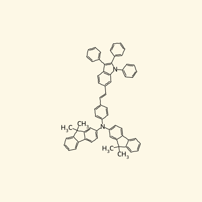 CC1(C)c2ccccc2-c2ccc(N(c3ccc(/C=C/c4ccc5c(-c6ccccc6)c(-c6ccccc6)n(-c6ccccc6)c5c4)cc3)c3ccc4c(c3)C(C)(C)c3ccccc3-4)cc21